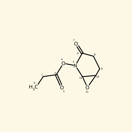 CCC(=O)ON1C(=O)CCC2OC21